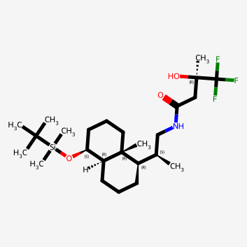 C[C@H](CNC(=O)C[C@@](C)(O)C(F)(F)F)[C@H]1CCC[C@H]2[C@@H](O[Si](C)(C)C(C)(C)C)CCC[C@]12C